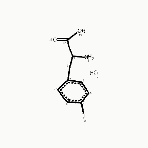 Cl.NC(Cc1ccc(I)cc1)C(=O)O